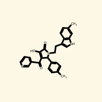 Cc1ccc(C2C(C(=O)c3cccnc3)=C(O)C(=O)N2CCc2c[nH]c3cc(C)ccc23)cc1